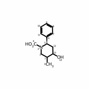 CC1CN(C(=O)O)[C@@H](c2ccccc2)CC1O